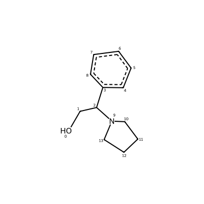 OCC(c1ccccc1)N1CCCC1